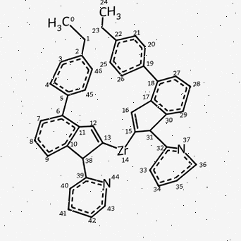 CCc1ccc(-c2cccc3c2C=[C]([Zr][C]2=Cc4c(-c5ccc(CC)cc5)cccc4C2c2ccccn2)C3c2ccccn2)cc1